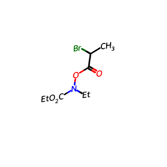 CCOC(=O)N(CC)OC(=O)C(C)Br